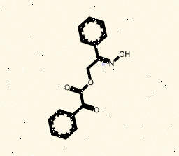 O=C(OC/C(=N/O)c1ccccc1)C(=O)c1ccccc1